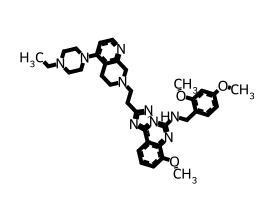 CCN1CCN(c2ccnc3c2CCN(CCc2nc4c5cccc(OC)c5nc(NCc5ccc(OC)cc5OC)n4n2)C3)CC1